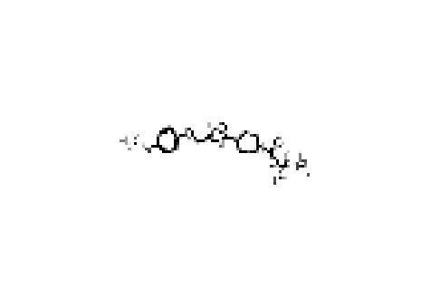 CSc1ccc(OCc2noc(C3CCN(C(=O)OC(C)(C)C)CC3)n2)cc1